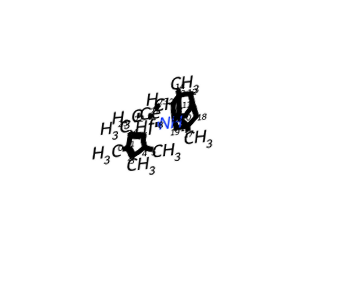 CC1=C(C)C(C)[C]([Hf]([NH]C23CC4CC(C)(CC(C)(C4)C2)C3)[GeH]([CH3])[CH3])=C1C